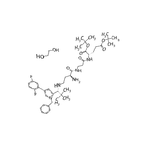 CC(C)(C)OC(=O)CC[C@H](NC(=O)CCNC(=O)[C@@H](N)CCN[C@@H](c1cc(-c2cc(F)ccc2F)cn1Cc1ccccc1)C(C)(C)C)C(=O)OC(C)(C)C.OCCO